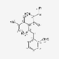 CCCCC(N)C(=O)N(C(=O)C(N)CC(C)C)C(Cc1ccccc1C=O)C(=O)O